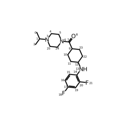 CC(C)N1CCN(C(=O)C2CCC(Nc3ccc(F)cc3F)CC2)CC1